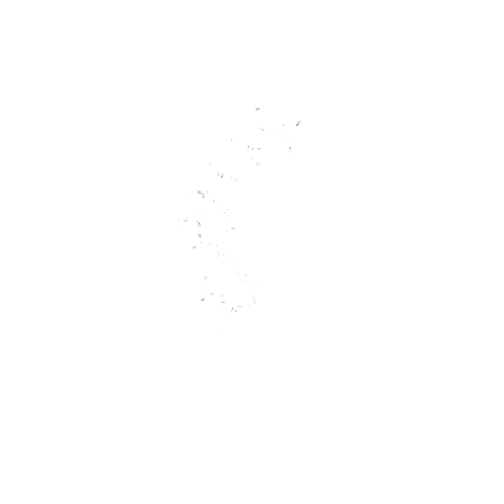 Cn1ccc2cc(-c3ccc(C(=O)N4CCN(C(=O)[C]5CC5)CC4)c(Cl)c3)ccc21